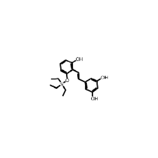 CC[Si](CC)(CC)Oc1cccc(O)c1C=Cc1cc(O)cc(O)c1